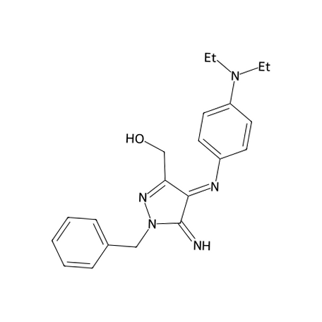 CCN(CC)c1ccc(N=C2C(=N)N(Cc3ccccc3)N=C2CO)cc1